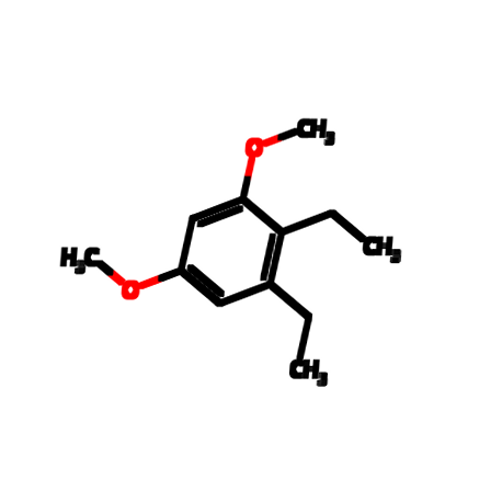 CCc1cc(OC)cc(OC)c1CC